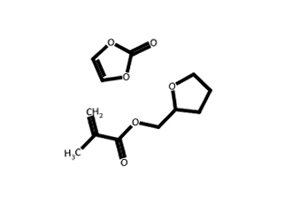 C=C(C)C(=O)OCC1CCCO1.O=c1occo1